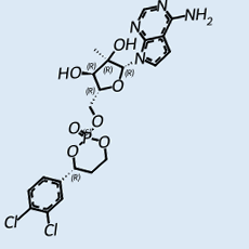 C[C@@]1(O)[C@H](O)[C@@H](CO[P@]2(=O)OCC[C@H](c3ccc(Cl)c(Cl)c3)O2)O[C@H]1n1ccc2c(N)ncnc21